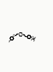 Fc1ccc(OCCN2CCN(CCc3ccc(OC(F)(F)F)cc3)CC2)cc1